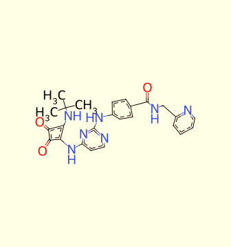 CC(C)(C)Nc1c(Nc2ccnc(Nc3ccc(C(=O)NCc4ccccn4)cc3)n2)c(=O)c1=O